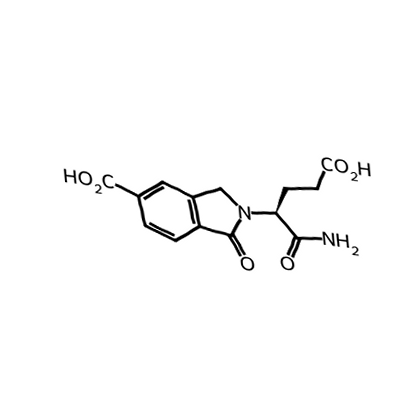 NC(=O)[C@H](CCC(=O)O)N1Cc2cc(C(=O)O)ccc2C1=O